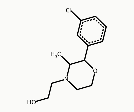 CC1C(c2cccc(Cl)c2)OCCN1CCO